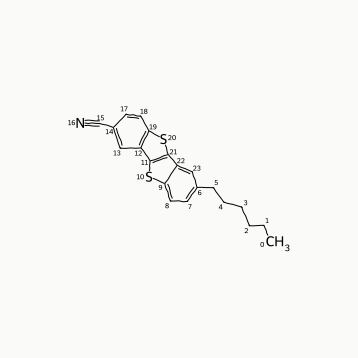 CCCCCCc1ccc2sc3c4cc(C#N)ccc4sc3c2c1